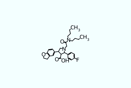 CCCCN(CCCC)C(=O)CN1CC(c2ccc3c(c2)CCO3)C(C(=O)O)C1c1ccc(F)cc1